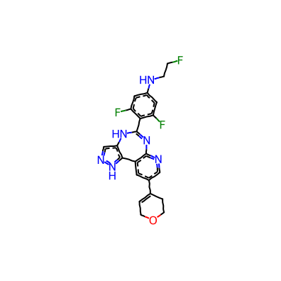 FCCNc1cc(F)c(C2=Nc3ncc(C4=CCOCC4)cc3-c3[nH]ncc3N2)c(F)c1